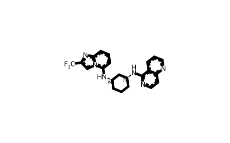 FC(F)(F)c1cn2c(N[C@H]3CCC[C@@H](Nc4nccc5ncccc45)C3)cccc2n1